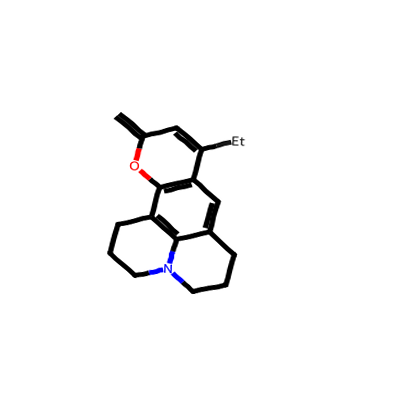 C=C1C=C(CC)c2cc3c4c(c2O1)CCCN4CCC3